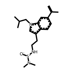 C=C(C)c1ccc2c(CCN[S+]([O-])N(C)C)cn(CC(C)C)c2c1